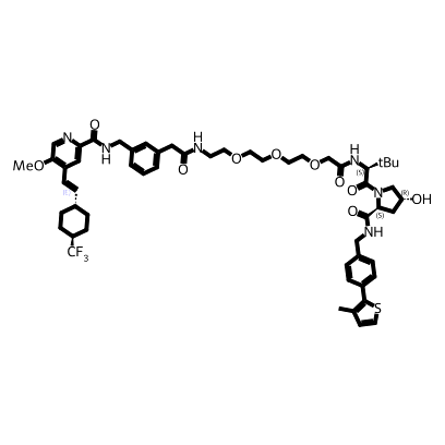 COc1cnc(C(=O)NCc2cccc(CC(=O)NCCOCCOCCOCC(=O)N[C@H](C(=O)N3C[C@H](O)C[C@H]3C(=O)NCc3ccc(-c4sccc4C)cc3)C(C)(C)C)c2)cc1/C=C/[C@H]1CC[C@H](C(F)(F)F)CC1